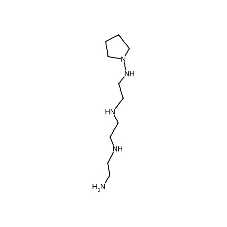 NCCNCCNCCNN1CCCC1